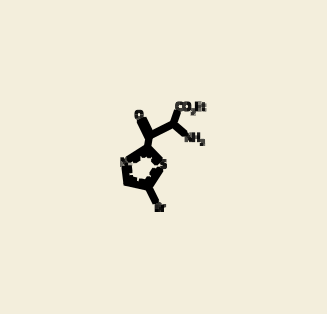 CCOC(=O)C(N)C(=O)c1ncc(Br)s1